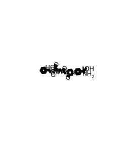 NC(=NO)c1ccc(N2CCN(CC(=O)NC[C@H](NS(=O)(=O)CCc3ccccc3)C(=O)O)C(=O)C2)cc1